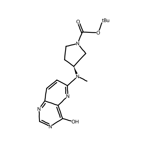 CN(c1ccc2ncnc(O)c2n1)[C@H]1CCN(C(=O)OC(C)(C)C)C1